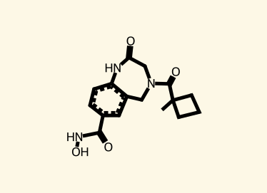 CC1(C(=O)N2CC(=O)Nc3ccc(C(=O)NO)cc3C2)CCC1